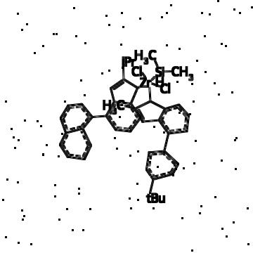 CC1=Cc2c(-c3ccc(C(C)(C)C)cc3)cccc2[CH]1[Zr]([Cl])([Cl])([CH]1C(C(C)C)=Cc2c(-c3cccc4ccccc34)cccc21)[SiH](C)C